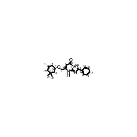 C[C@@H]1C[C@H](OCc2cc(=O)n3nc(-c4ccccc4)nc3[nH]2)CC(C)(C)C1